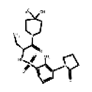 Cc1c(N2CCCC2=O)cccc1S(=O)(=O)N[C@@H](CN)C(=O)N1CCC(C)(O)CC1